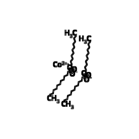 CCCCCCCCCCCCOP(=O)([O-])CCCCCCCCCCCC.CCCCCCCCCCCCOP(=O)([O-])CCCCCCCCCCCC.[Co+2]